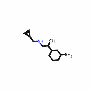 BC1CCCC(C(C)CNCC2C=C2)C1